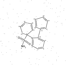 NS(=O)(=O)C1(c2ccccc2-c2ccccc2)C=CC=CC1